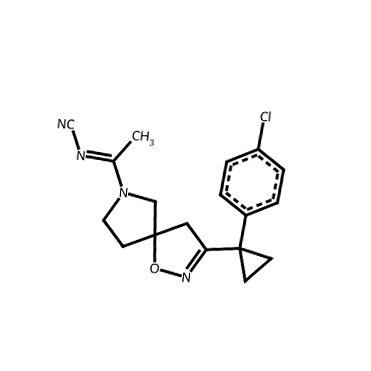 CC(=NC#N)N1CCC2(CC(C3(c4ccc(Cl)cc4)CC3)=NO2)C1